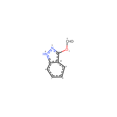 O=[C]Oc1n[nH]c2ccccc12